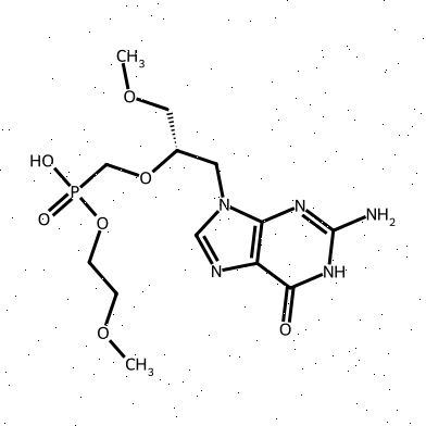 COCCOP(=O)(O)CO[C@H](COC)Cn1cnc2c(=O)[nH]c(N)nc21